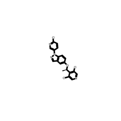 C[C@@H](Oc1ccc2c(cnn2-c2ccc(Cl)nc2)c1)c1c(Cl)cncc1Cl